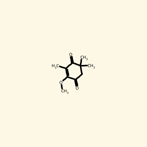 COC1=C(C)C(=O)C(C)(C)CC1=O